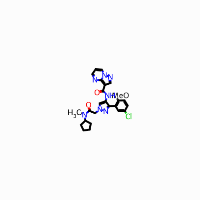 COc1ccc(Cl)cc1-c1nn(CC(=O)N(C)C2CCCC2)cc1NC(=O)c1cnn2cccnc12